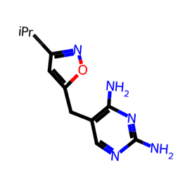 CC(C)c1cc(Cc2cnc(N)nc2N)on1